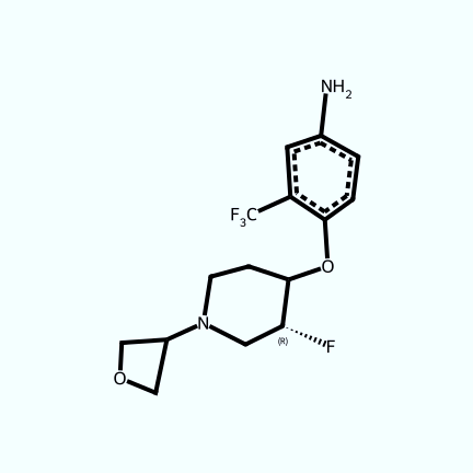 Nc1ccc(OC2CCN(C3COC3)C[C@H]2F)c(C(F)(F)F)c1